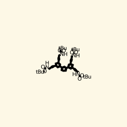 CC(C)(C)OC(=O)NCC#Cc1cc(C#CCNC(=O)OC(C)(C)C)cc(-c2cccc(-c3cc(C#CCNC(=O)OC(C)(C)C)cc(C#CCNC(=O)OC(C)(C)C)c3)c2)c1